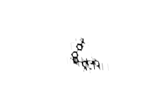 CS(=O)(=O)c1ccc(-c2ccc3[nH]nc(-c4cc(=O)[nH]c(O[C@@H]5CNCC[C@H]5F)n4)c3c2)c(F)c1